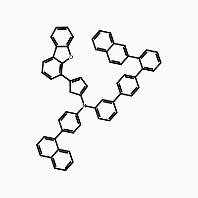 C1=C(c2cccc3c2oc2ccccc23)CC(N(c2ccc(-c3cccc4ccccc34)cc2)c2cccc(-c3ccc(-c4ccccc4-c4ccc5ccccc5c4)cc3)c2)=C1